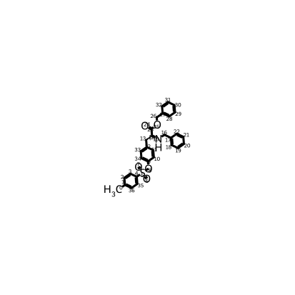 Cc1ccc(S(=O)(=O)Oc2ccc(C[C@H](NCc3ccccc3)C(=O)OCc3ccccc3)cc2)cc1